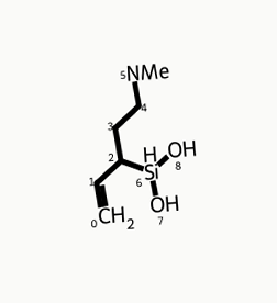 C=CC(CCNC)[SiH](O)O